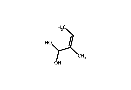 CC=C(C)C(O)O